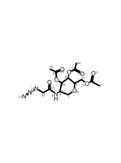 CC(=O)OCC1OC[C@@H](NC(=O)CN=[N+]=[N-])C(OC(C)=O)[C@H]1OC(C)=O